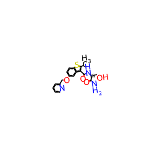 Cc1sc2ccc(OCc3ccccn3)cc2c1C(=O)N[C@@H](CO)C(N)=O